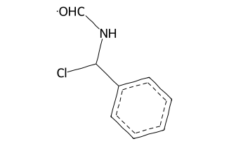 O=[C]NC(Cl)c1ccccc1